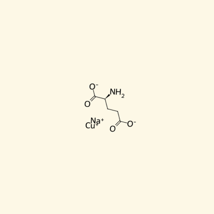 N[C@@H](CCC(=O)[O-])C(=O)[O-].[Cu+].[Na+]